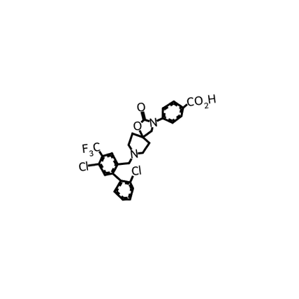 O=C(O)c1ccc(N2CC3(CCN(Cc4cc(C(F)(F)F)c(Cl)cc4-c4ccccc4Cl)CC3)OC2=O)cc1